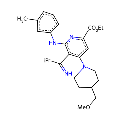 CCOC(=O)c1cc(N2CCC(COC)CC2)c(C(=N)C(C)C)c(Nc2cccc(C)c2)n1